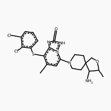 Cc1cc(N2CCC3(CC2)COC(C)C3N)n2[nH]c(=O)nc2c1Sc1cccc(Cl)c1Cl